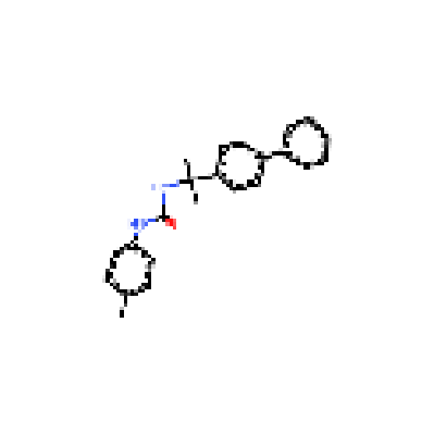 Cc1ccc(NC(=O)NC(C)(C)c2ccc(-c3ccccc3)cc2)cc1